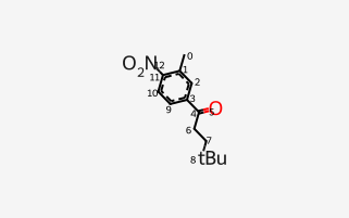 Cc1cc(C(=O)CCC(C)(C)C)ccc1[N+](=O)[O-]